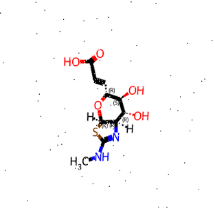 CNC1=N[C@@H]2[C@@H](O)[C@H](O)[C@@H](C=CC(=O)O)O[C@@H]2S1